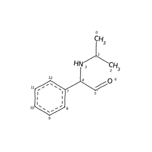 C[C](C)NC([C]=O)c1ccccc1